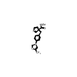 CNC(=O)C1(Cc2ccc(N3C=C(C(F)(F)F)OC3)cc2)C=CN=C1